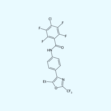 CCc1oc(C(F)(F)F)nc1-c1ccc(NC(=O)c2c(F)c(F)c(Cl)c(F)c2F)cc1